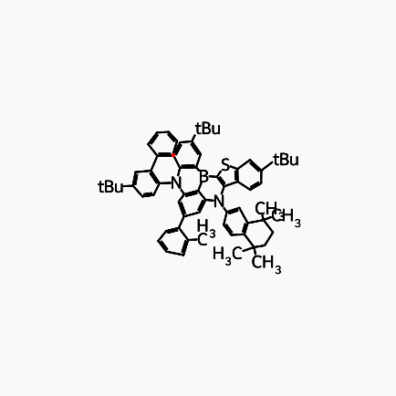 Cc1ccccc1-c1cc2c3c(c1)N(c1ccc4c(c1)C(C)(C)CCC4(C)C)c1c(sc4cc(C(C)(C)C)ccc14)B3c1cc(C(C)(C)C)ccc1N2c1ccc(C(C)(C)C)cc1-c1ccccc1